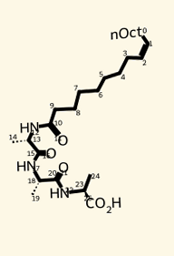 CCCCCCCC/C=C\CCCCCCCC(=O)N[C@@H](C)C(=O)N[C@@H](C)C(=O)N[C@@H](C)C(=O)O